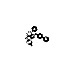 CC(C)Cn1c(=O)n(C)c(=O)c2c(Nc3ccccc3)n(Cc3ccc(-c4ccccn4)cc3)cc21